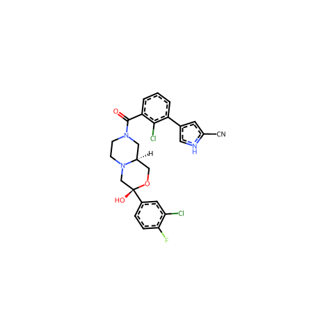 N#Cc1cc(-c2cccc(C(=O)N3CCN4C[C@@](O)(c5ccc(F)c(Cl)c5)OC[C@@H]4C3)c2Cl)c[nH]1